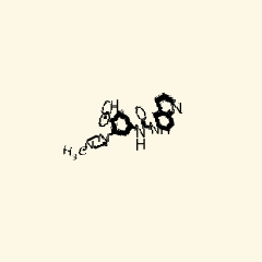 COc1ccc(NC(=O)Nc2ccc3ncccc3c2)cc1N1CCN(C)CC1